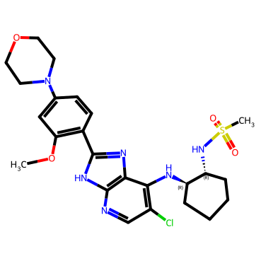 COc1cc(N2CCOCC2)ccc1-c1nc2c(N[C@@H]3CCCC[C@H]3NS(C)(=O)=O)c(Cl)cnc2[nH]1